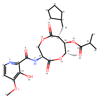 COc1ccnc(C(=O)N[C@H]2COC(=O)[C@H](CC3CCCC3)[C@@H](OC(=O)C(C)C)[C@H](C)OC2=O)c1O